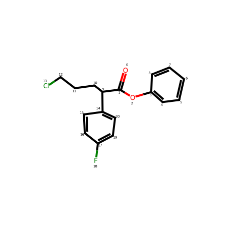 O=C(Oc1ccccc1)C(CCCCl)c1ccc(F)cc1